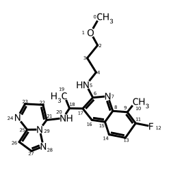 COCCCNc1nc2c(C)c(F)ccc2cc1C(C)Nc1ccnc2ccnn12